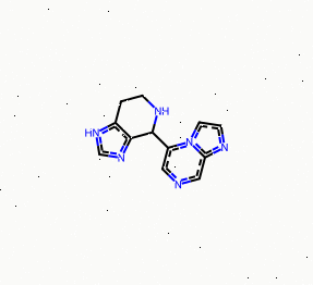 c1cn2c(C3NCCc4[nH]cnc43)cncc2n1